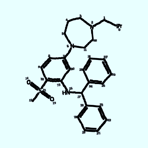 CC(C)CN1CCCN(c2ccc(S(C)(=O)=O)c(NC(c3ccccc3)c3ccccc3)c2)CC1